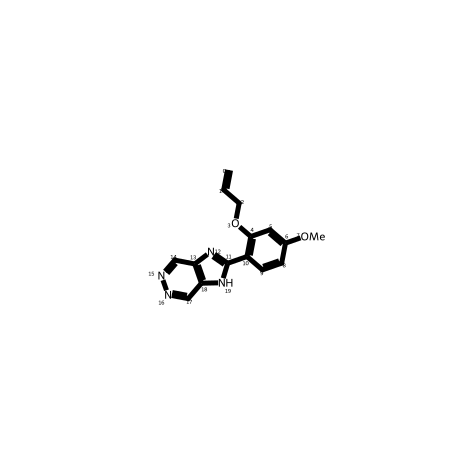 C=CCOc1cc(OC)ccc1-c1nc2cnncc2[nH]1